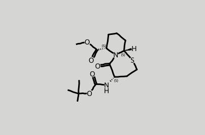 COC(=O)[C@@H]1CCC[C@@H]2SCC[C@H](NC(=O)OC(C)(C)C)C(=O)N21